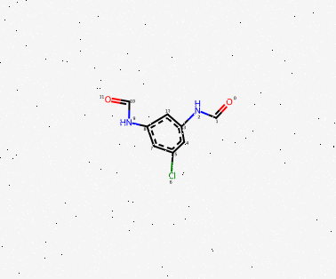 O=CNc1cc(Cl)cc(NC=O)c1